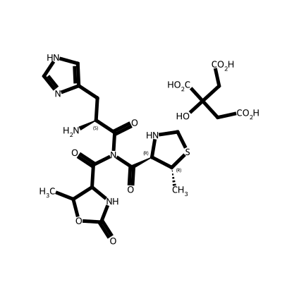 CC1OC(=O)NC1C(=O)N(C(=O)[C@H]1NCS[C@@H]1C)C(=O)[C@@H](N)Cc1c[nH]cn1.O=C(O)CC(O)(CC(=O)O)C(=O)O